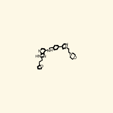 c1coc(CCc2nc3c(NCc4ccc(-c5cnn(CCN6CCOCC6)c5)cc4)ccnc3[nH]2)c1